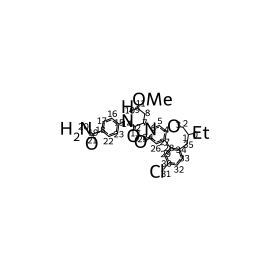 CCC1COc2cn(C(CC(C)OC)C(=O)Nc3ccc(C(N)=O)cc3)c(=O)cc2-c2cc(Cl)ccc2C1